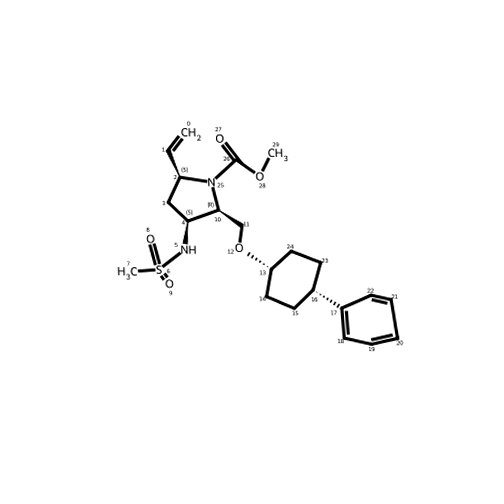 C=C[C@@H]1C[C@H](NS(C)(=O)=O)[C@H](CO[C@H]2CC[C@@H](c3ccccc3)CC2)N1C(=O)OC